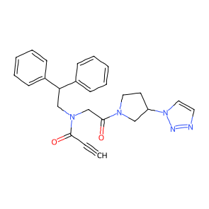 C#CC(=O)N(CC(=O)N1CCC(n2ccnn2)C1)CC(c1ccccc1)c1ccccc1